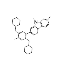 Cc1ccc2c3ccc(-c4cc(CC5CCCCC5)c(C)cc4CC4CCCCC4)cc3n(C)c2c1